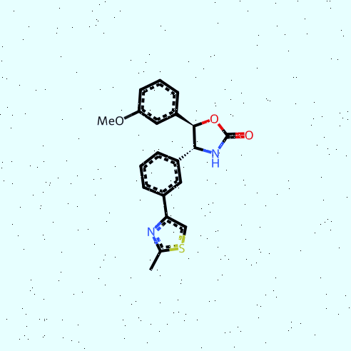 COc1cccc([C@H]2OC(=O)N[C@@H]2c2cccc(-c3csc(C)n3)c2)c1